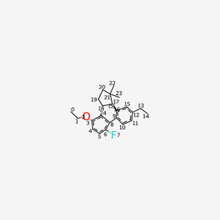 CCOc1ccc(F)c(-c2ccc(CC)cc2[C@H]2CCCC2(C)C)c1